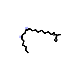 CCCCC/C=C\C/C=C\CCCCCCCSC(C)=O